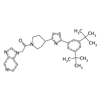 CC(C)(C)c1cc(-c2nc(C3CCN(C(=O)Cn4cnc5cnccc54)CC3)cs2)cc(C(C)(C)C)c1